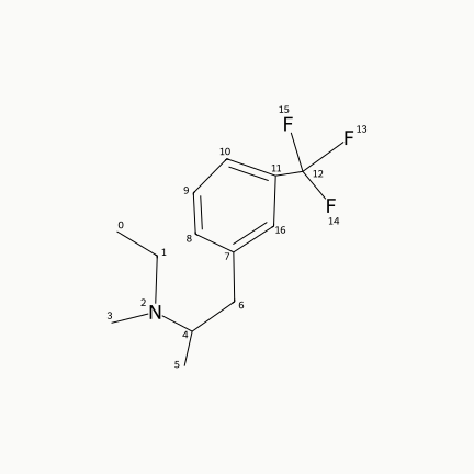 CCN(C)C(C)Cc1cccc(C(F)(F)F)c1